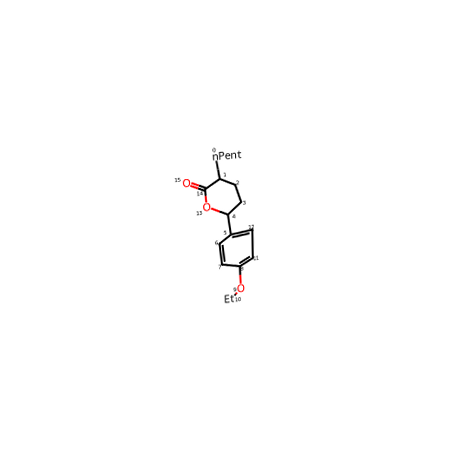 CCCCCC1CCC(c2ccc(OCC)cc2)OC1=O